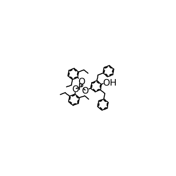 CCc1cccc(CC)c1OP(Oc1cc(Cc2ccccc2)c(O)c(Cc2ccccc2)c1)Oc1c(CC)cccc1CC